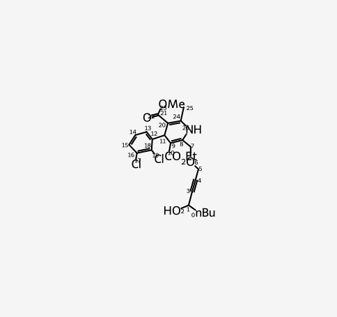 CCCCC(O)C#CCOCC1=C(C(=O)OCC)C(c2cccc(Cl)c2Cl)C(C(=O)OC)=C(C)N1